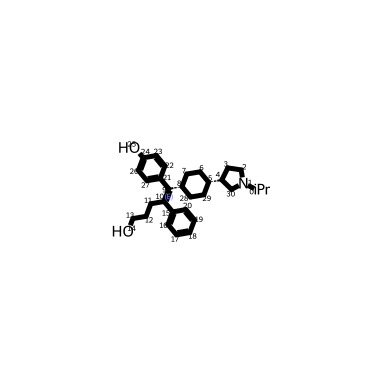 CC(C)N1CCC([C@H]2CC[C@@H](/C(=C(/CCCO)c3ccccc3)c3ccc(O)cc3)CC2)C1